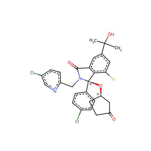 CC(C)(O)c1cc(F)c2c(c1)C(=O)N(Cc1ccc(Cl)cn1)[C@@]2(O[C@@H]1CCC(=O)C1)c1ccc(Cl)cc1